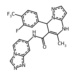 CC1=C(C(=O)Nc2ccn3cnnc3c2)C(c2ccc(C(F)(F)F)c(F)c2)n2nccc2N1